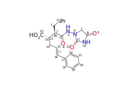 CC(C)C[C@@H](C(=O)NN1CC(=O)NC1=O)[C@H](C/C=C/c1ccccc1)C(=O)O